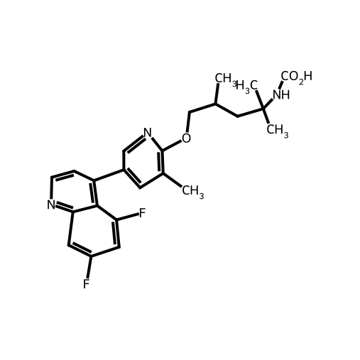 Cc1cc(-c2ccnc3cc(F)cc(F)c23)cnc1OCC(C)CC(C)(C)NC(=O)O